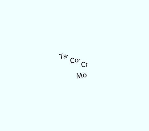 [Co].[Cr].[Mo].[Ta]